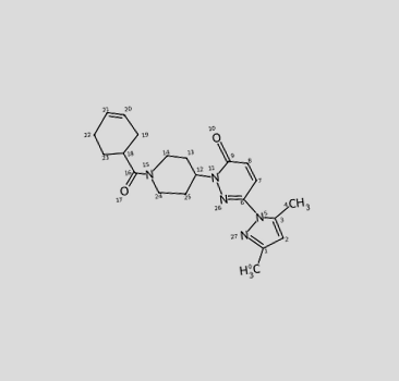 Cc1cc(C)n(-c2ccc(=O)n(C3CCN(C(=O)C4CC=CCC4)CC3)n2)n1